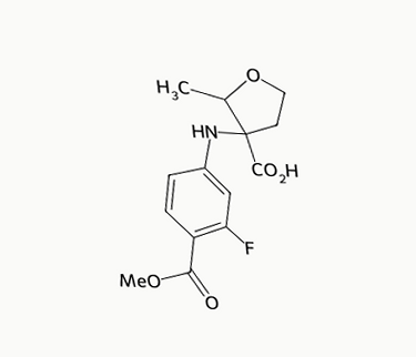 COC(=O)c1ccc(NC2(C(=O)O)CCOC2C)cc1F